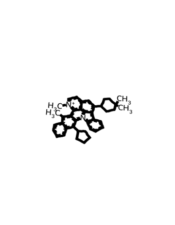 Cc1c2ccccc2c(C2CCCC2)c2c1c1c3c(cc[n+]1C)cc(C1CCC(C)(C)CC1)c1c4ccccc4n2c13